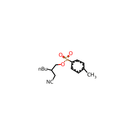 CCCCC(CC#N)COS(=O)(=O)c1ccc(C)cc1